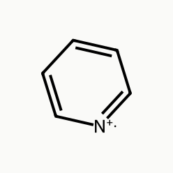 C1=CC=[N+]C=C1